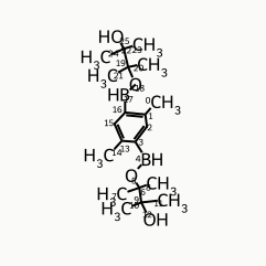 Cc1cc(BOC(C)(C)C(C)(C)O)c(C)cc1BOC(C)(C)C(C)(C)O